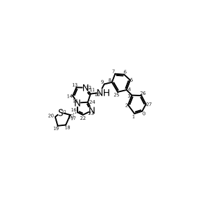 c1ccc(-c2cccc(CNc3nccn4c([C@@H]5CCCS5)cnc34)c2)cc1